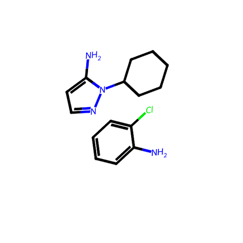 Nc1ccccc1Cl.Nc1ccnn1C1CCCCC1